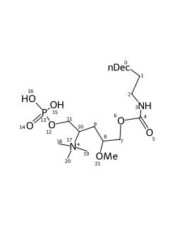 CCCCCCCCCCCCNC(=O)OCC(CC(COP(=O)(O)O)[N+](C)(C)C)OC